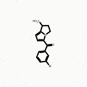 O=C(c1cccc(Br)c1)c1ccc2n1CCC2C(=O)O